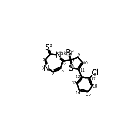 S=c1cnccc(C2(Br)CC=C(c3ccccc3Cl)S2)n1